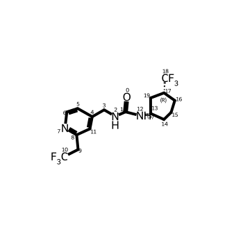 O=C(NCc1ccnc(CC(F)(F)F)c1)N[C@H]1CCC[C@@H](C(F)(F)F)C1